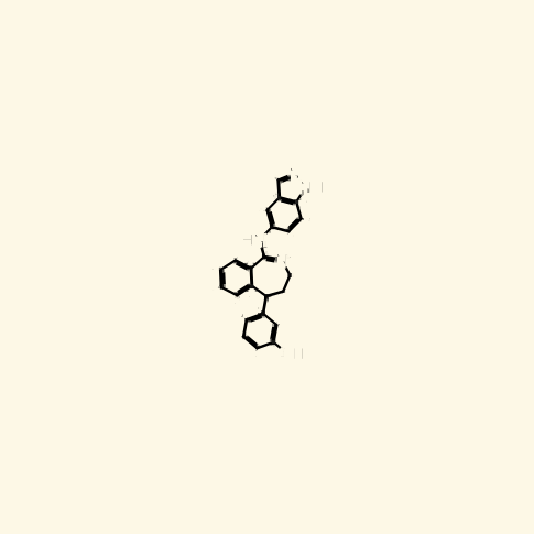 Cc1cccc(C2CCN=C(Nc3ccc4[nH]ncc4c3)c3ccccc32)c1